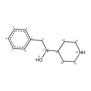 ON(Cc1ccccc1)C1CCNCC1